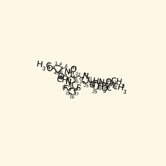 COc1ccc(CN2Cc3nc(-c4c(F)cccc4F)cc(Cc4ccc(N5CCC[C@@H](NC(=O)OC(C)(C)C)C5)cn4)c3C2=O)c(OC)c1